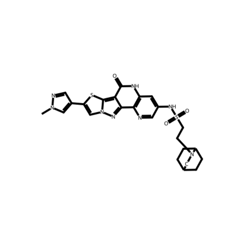 Cn1cc(-c2cn3nc4c5ncc(NS(=O)(=O)CCN6CC7CCC6CC7)cc5[nH]c(=O)c4c3s2)cn1